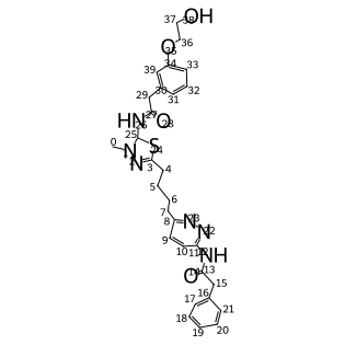 CN1N=C(CCCCc2ccc(NC(=O)Cc3ccccc3)nn2)SC1NC(=O)Cc1cccc(OCCO)c1